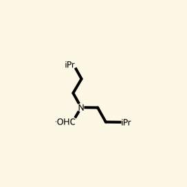 CC(C)CCN([C]=O)CCC(C)C